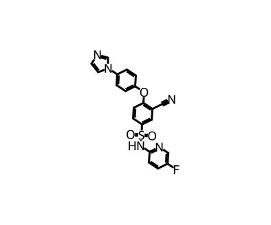 N#Cc1cc(S(=O)(=O)Nc2ccc(F)cn2)ccc1Oc1ccc(-n2ccnc2)cc1